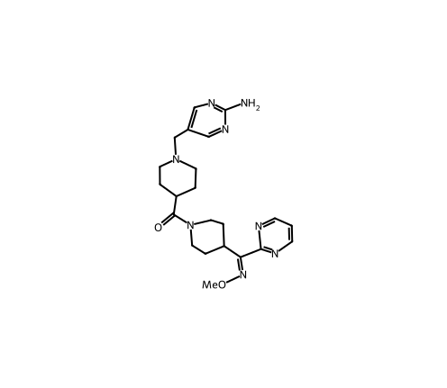 CON=C(c1ncccn1)C1CCN(C(=O)C2CCN(Cc3cnc(N)nc3)CC2)CC1